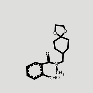 CN(CC1CCC2(CC1)OCCO2)C(=O)c1ccccc1C=O